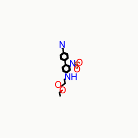 CCOC(=O)CCNc1ccc(-c2ccc(C#N)cc2)c(N=S(=O)=O)c1